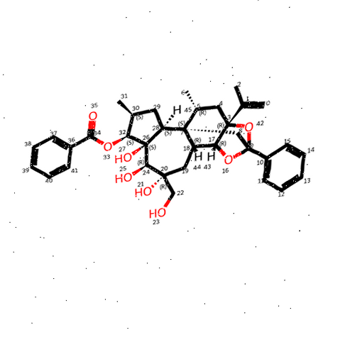 C=C(C)[C@]12C[C@@H](C)[C@@]34CC(c5ccccc5)(O[C@@H]1[C@@H]3C[C@@](O)(CO)[C@@H](O)[C@@]1(O)[C@H]4C[C@H](C)[C@@H]1OC(=O)c1ccccc1)O2